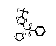 O=S(=O)(c1ccccc1)N(c1noc(C(F)(F)F)n1)[C@@H]1CCNC1